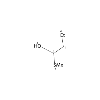 CCCC(O)SC